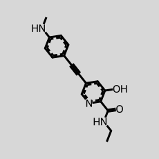 CCNC(=O)c1ncc(C#Cc2ccc(NC)cc2)cc1O